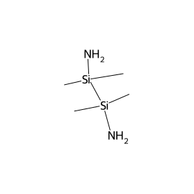 C[Si](C)(N)[Si](C)(C)N